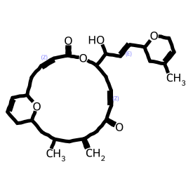 C=C1CC(=O)/C=C\CC(C(O)/C=C/C2CC(C)=CCO2)OC(=O)/C=C\CC2C=CCC(CC(C)C1)O2